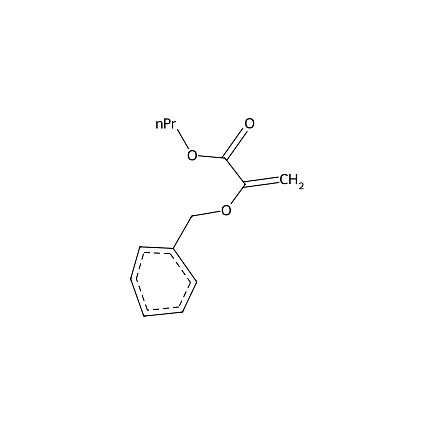 C=C(OCc1ccccc1)C(=O)OCCC